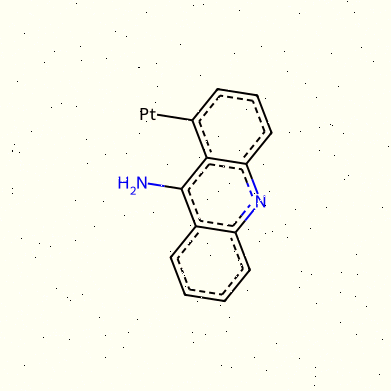 Nc1c2ccccc2nc2ccc[c]([Pt])c12